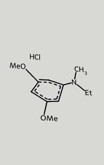 CCN(C)c1cc(OC)cc(OC)c1.Cl